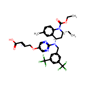 CCOC(=O)N1c2ccc(C)cc2[C@@H](N(Cc2cc(C(F)(F)F)cc(C(F)(F)F)c2)c2ncc(OC/C=C/C(=O)O)cn2)C[C@H]1CC